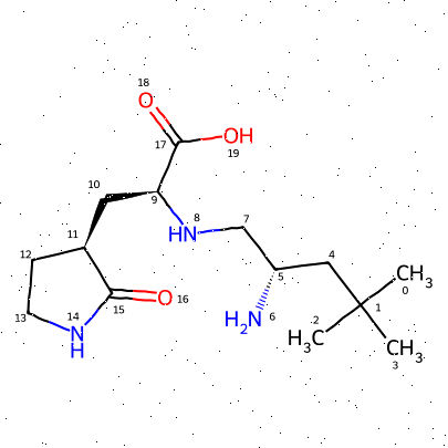 CC(C)(C)C[C@H](N)CN[C@@H](C[C@@H]1CCNC1=O)C(=O)O